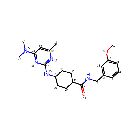 COc1cccc(CNC(=O)C2CCC(Nc3nc(C)cc(N(C)C)n3)CC2)c1